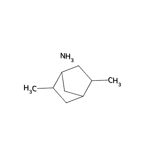 CC1CC2CC1CC2C.N